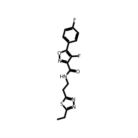 CCc1nnc(CCNC(=O)c2noc(-c3ccc(F)cc3)c2F)s1